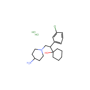 Cl.Cl.NC1CCN(CC(c2cccc(Cl)c2)C2(O)CCCCC2)CC1